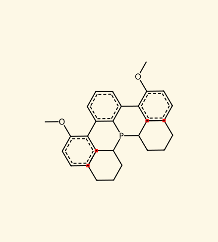 COc1ccccc1-c1cccc(-c2ccccc2OC)c1P(C1CCCCC1)C1CCCCC1